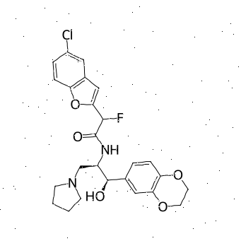 O=C(N[C@H](CN1CCCC1)[C@H](O)c1ccc2c(c1)OCCO2)C(F)c1cc2cc(Cl)ccc2o1